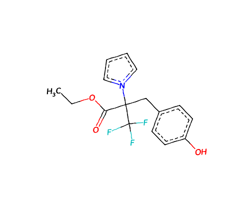 CCOC(=O)C(Cc1ccc(O)cc1)(n1cccc1)C(F)(F)F